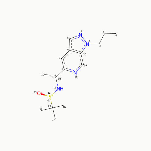 CCCn1ncc2cc([C@@H](C)N[S@+]([O-])C(C)(C)C)ncc21